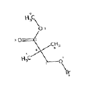 COC(=O)C(C)(C)COBr